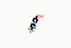 OCC1CCN(c2ccc(C(F)(F)F)nc2)CC1